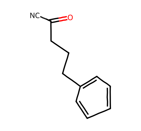 N#CC(=O)CCCc1ccccc1